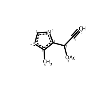 C#CC(OC(C)=O)c1ncsc1C